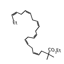 CC/C=C\C/C=C\C/C=C\C/C=C\C/C=C\C/C=C\CC(C)(C)C(=O)OCC